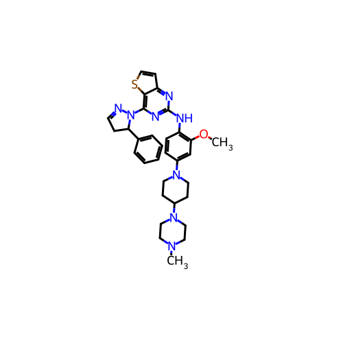 COc1cc(N2CCC(N3CCN(C)CC3)CC2)ccc1Nc1nc(N2N=CCC2c2ccccc2)c2sccc2n1